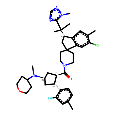 Cc1ccc([C@@H]2C[C@@H](N(C)C3CCOCC3)C[C@H]2C(=O)N2CCC3(CC2)C[C@H](C(C)(C)c2ncnn2C)c2cc(C)c(Cl)cc23)c(F)c1